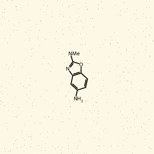 CNc1nc2cc(N)ccc2o1